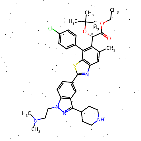 CCOC(=O)[C@@H](OC(C)(C)C)c1c(C)cc2nc(-c3ccc4c(c3)c(C3CCNCC3)nn4CCN(C)C)sc2c1-c1ccc(Cl)cc1